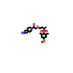 COc1cc(C)c(S(=O)(=O)N(C)CCOCC(=O)N2CCC3(CC2)CNC3)c(C)c1